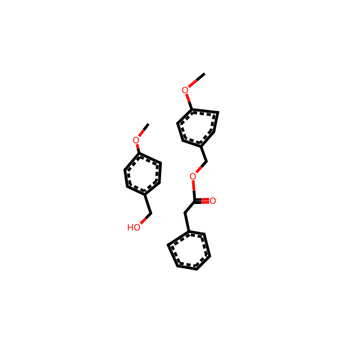 COc1ccc(CO)cc1.COc1ccc(COC(=O)Cc2ccccc2)cc1